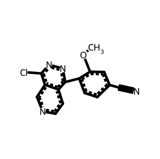 COc1cc(C#N)ccc1-c1nnc(Cl)c2cnccc12